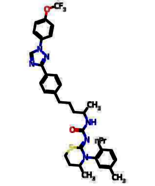 CCCc1ccc(C)cc1N1/C(=N/C(=O)NC(C)CCCc2ccc(-c3ncn(-c4ccc(OC(F)(F)F)cc4)n3)cc2)SCCC1C